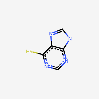 Sc1ncnc2c1N=C[N]2